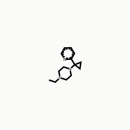 CCN1CCN(C2(c3ccccn3)CC2)CC1